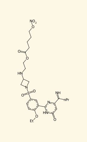 CCCC(=N)c1cc(=O)[nH]c(-c2cc(S(=O)(=O)N3CC(NCCOC(=O)CCCCO[N+](=O)[O-])C3)ccc2OCC)n1